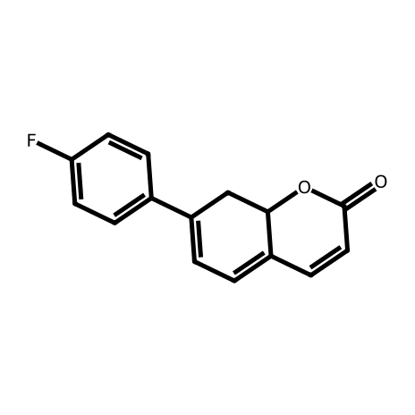 O=C1C=CC2=CC=C(c3ccc(F)cc3)CC2O1